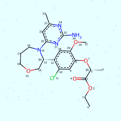 CCOC(=O)[C@@H](C)Oc1cc(Cl)c([C@@H]2COCCCN2c2cc(C)nc(N)n2)cc1OC